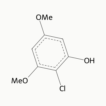 COc1cc(O)c(Cl)c(OC)c1